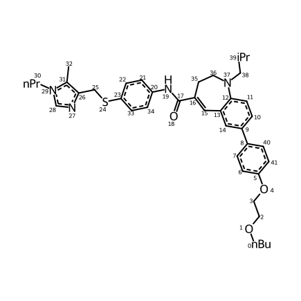 CCCCOCCOc1ccc(-c2ccc3c(c2)C=C(C(=O)Nc2ccc(SCc4ncn(CCC)c4C)cc2)CCN3CC(C)C)cc1